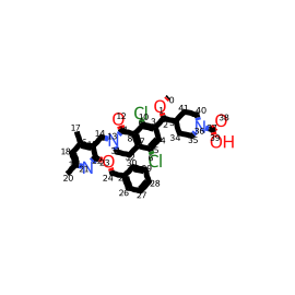 COC(c1cc(Cl)c2c(c1Cl)C(=O)N(Cc1c(C)cc(C)nc1OCc1ccccc1)CC2)C1CCN(C(=O)O)CC1